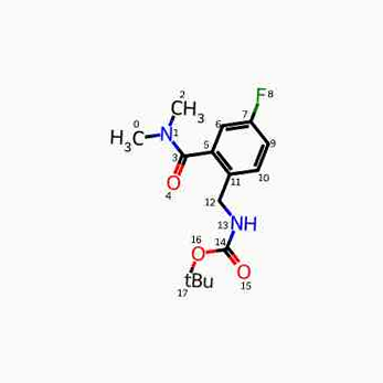 CN(C)C(=O)c1cc(F)ccc1CNC(=O)OC(C)(C)C